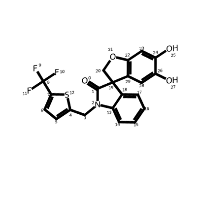 O=C1N(Cc2ccc(C(F)(F)F)s2)c2ccccc2C12COc1cc(O)c(O)cc12